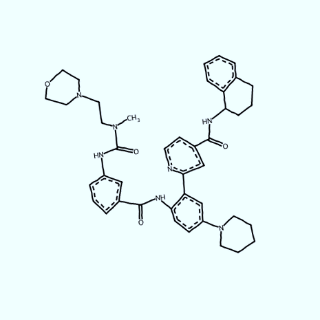 CN(CCN1CCOCC1)C(=O)Nc1cccc(C(=O)Nc2ccc(N3CCCCC3)cc2-c2cc(C(=O)NC3CCCc4ccccc43)ccn2)c1